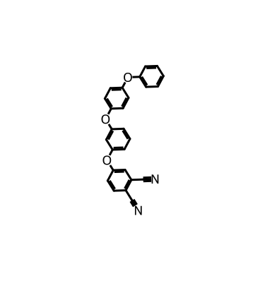 N#Cc1ccc(Oc2cccc(Oc3ccc(Oc4ccccc4)cc3)c2)cc1C#N